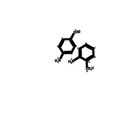 Nc1ccc(C=O)cc1.Nc1ccccc1C(=O)O